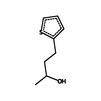 CC(O)CCc1cccs1